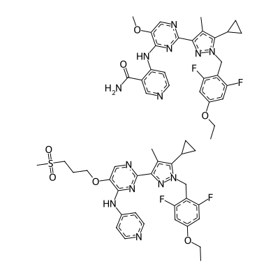 CCOc1cc(F)c(Cn2nc(-c3ncc(OC)c(Nc4ccncc4C(N)=O)n3)c(C)c2C2CC2)c(F)c1.CCOc1cc(F)c(Cn2nc(-c3ncc(OCCCS(C)(=O)=O)c(Nc4ccncc4)n3)c(C)c2C2CC2)c(F)c1